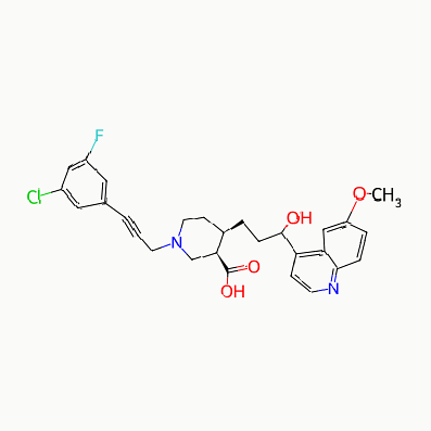 COc1ccc2nccc(C(O)CC[C@@H]3CCN(CC#Cc4cc(F)cc(Cl)c4)C[C@@H]3C(=O)O)c2c1